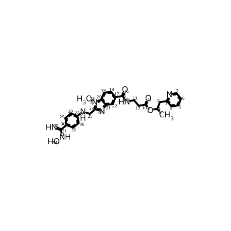 CC(Cc1ccccn1)OC(=O)CCNC(=O)c1ccc2c(c1)nc(CNc1ccc(C(=N)NO)cc1)n2C